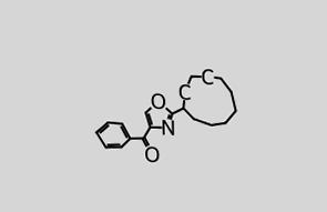 O=C(c1ccccc1)c1coc(C2CCCCCCCCC2)n1